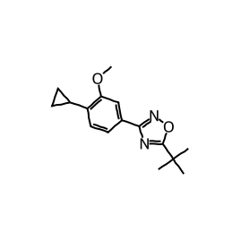 COc1cc(-c2noc(C(C)(C)C)n2)ccc1C1CC1